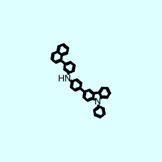 c1ccc(-n2c3ccccc3c3cc(-c4ccc(Nc5cccc(-c6cccc7ccccc67)c5)cc4)ccc32)cc1